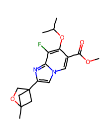 COC(=O)c1cn2cc(C34COC(C)(C3)C4)nc2c(F)c1OC(C)C